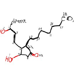 CCCCC[C@H](O)C=CC1C(O)CC(=O)C1CCCCCCC(=O)O